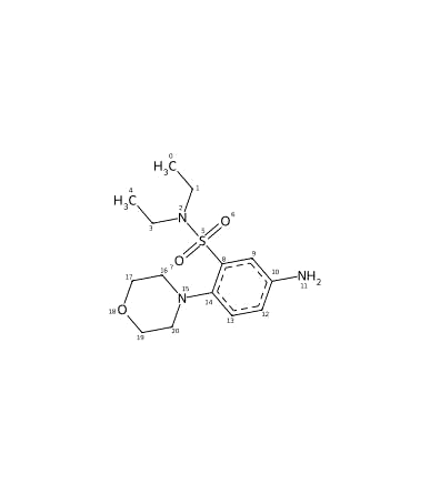 CCN(CC)S(=O)(=O)c1cc(N)ccc1N1CCOCC1